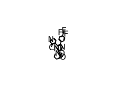 O=S1(=O)CCCCN1c1cnc(-c2ccc(C(F)(F)F)cc2)c(-c2ccncc2Cl)n1